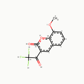 COc1cccc2cc(C(=O)C(F)(F)F)c(=O)oc12